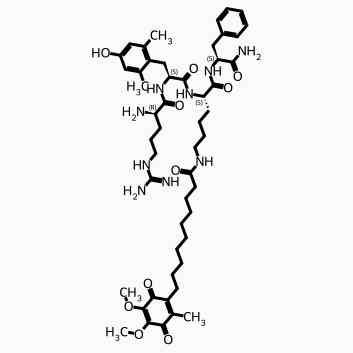 COC1=C(OC)C(=O)C(CCCCCCCCCC(=O)NCCCC[C@H](NC(=O)[C@H](Cc2c(C)cc(O)cc2C)NC(=O)[C@H](N)CCCNC(=N)N)C(=O)N[C@@H](Cc2ccccc2)C(N)=O)=C(C)C1=O